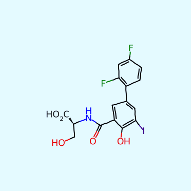 O=C(N[C@@H](CO)C(=O)O)c1cc(-c2ccc(F)cc2F)cc(I)c1O